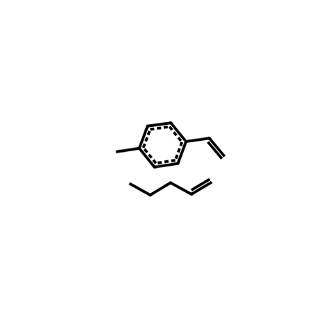 C=CCCC.C=Cc1ccc(C)cc1